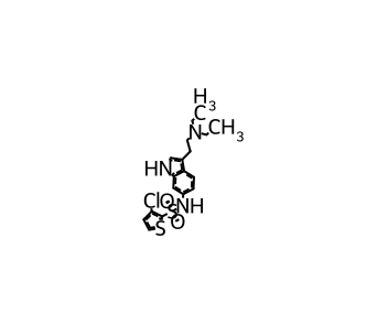 CCN(CC)CCc1c[nH]c2cc(NS(=O)(=O)c3sccc3Cl)ccc12